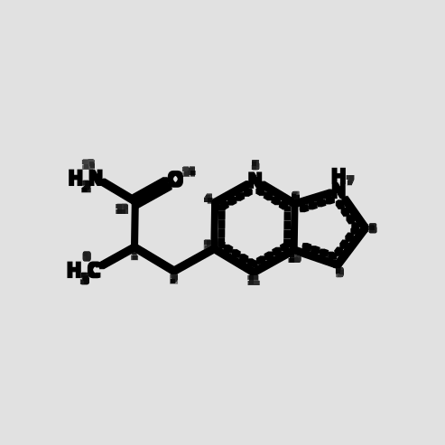 CC(Cc1cnc2[nH]ccc2c1)C(N)=O